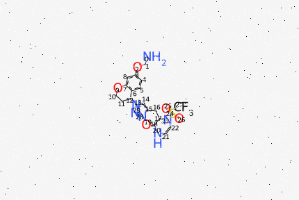 NCOc1ccc2c(c1)OCCC2n1cc(CC2C(=O)NC=CN2S(=O)(=O)C(F)(F)F)nn1